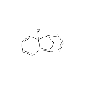 OC12C=CC=CC1=C1C=CC=C2C1